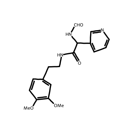 COc1ccc(CCNC(=O)C(NC=O)c2cccnc2)cc1OC